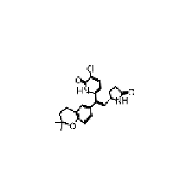 CC1(C)CCc2cc(/C(=C/[C@H]3CCC(=O)N3)c3ccc(Cl)c(=O)[nH]3)ccc2O1